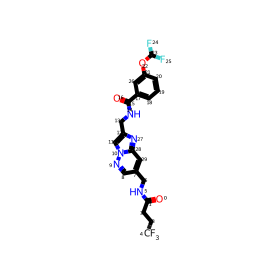 O=C(CCC(F)(F)F)NCc1cnn2cc(CNC(=O)c3cccc(OC(F)F)c3)nc2c1